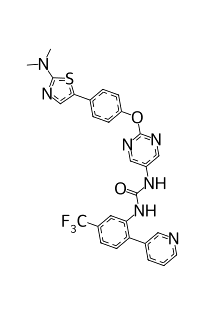 CN(C)c1ncc(-c2ccc(Oc3ncc(NC(=O)Nc4cc(C(F)(F)F)ccc4-c4cccnc4)cn3)cc2)s1